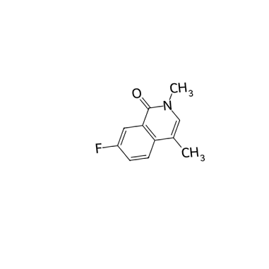 Cc1cn(C)c(=O)c2cc(F)ccc12